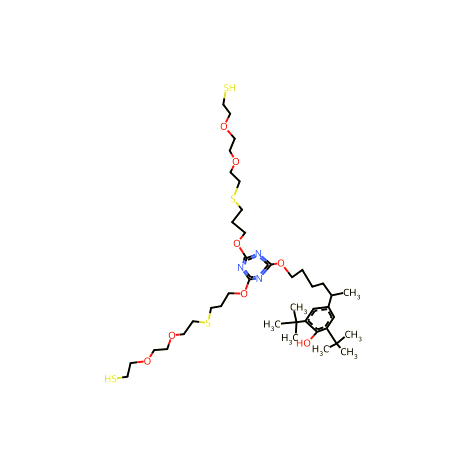 CC(CCCCOc1nc(OCCCSCCOCCOCCS)nc(OCCCSCCOCCOCCS)n1)c1cc(C(C)(C)C)c(O)c(C(C)(C)C)c1